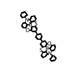 c1ccc(N2c3cccc4c3B3c5c(cc(-c6ccc(-c7cc8c9c(c7)Sc7cccc%10c7B9c7c(cccc7N%10c7ccccc7)O8)cc6)cc5Sc5cccc2c53)O4)cc1